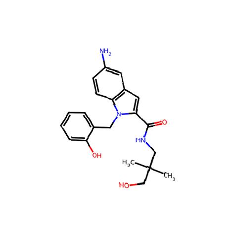 CC(C)(CO)CNC(=O)c1cc2cc(N)ccc2n1Cc1ccccc1O